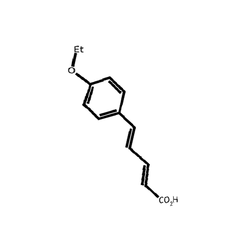 CCOc1ccc(C=CC=CC(=O)O)cc1